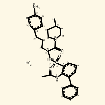 CC(=O)Nc1c(-c2ccccc2)cccc1S(=O)(=O)N[C@@H](CCCc1ccc(N)cn1)C(=O)N1CCC(C)CC1.Cl